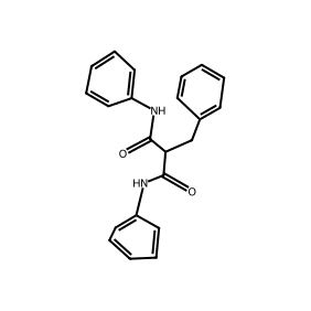 O=C(Nc1ccccc1)C(Cc1ccccc1)C(=O)Nc1ccccc1